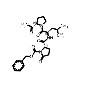 CC(C)C[C@@H](NC(=O)[C@@H]1CCC(=O)N1C(=O)OCc1ccccc1)C(=O)N1CCC[C@H]1C(N)=O